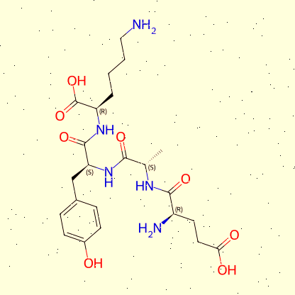 C[C@H](NC(=O)[C@H](N)CCC(=O)O)C(=O)N[C@@H](Cc1ccc(O)cc1)C(=O)N[C@H](CCCCN)C(=O)O